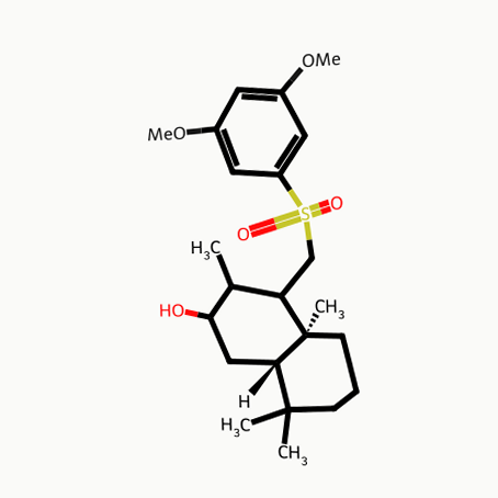 COc1cc(OC)cc(S(=O)(=O)CC2C(C)C(O)C[C@H]3C(C)(C)CCC[C@]23C)c1